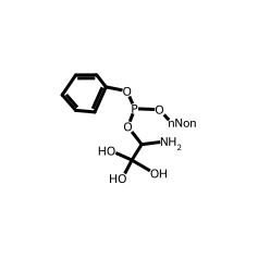 CCCCCCCCCOP(Oc1ccccc1)OC(N)C(O)(O)O